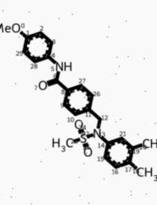 COc1ccc(NC(=O)c2ccc(CN(c3ccc(C)c(C)c3)S(C)(=O)=O)cc2)cc1